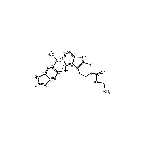 CCOC(=O)[C@H]1CCc2c(sc3ncnc(Nc4cc5cn[nH]c5cc4OC)c23)C1